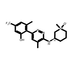 Cc1cc(-c2c(C)cc(C(F)(F)F)cc2O)nnc1N[C@@H]1CCC[N+](C)([O-])C1